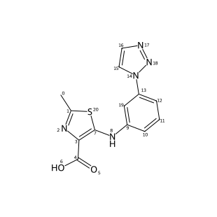 Cc1nc(C(=O)O)c(Nc2cccc(-n3ccnn3)c2)s1